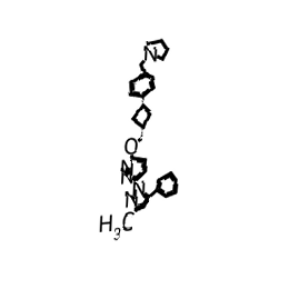 Cc1cc(-c2ccccc2)n(-c2ccc(OC[C@H]3C[C@@H](c4ccc(CN5CCCC5)cc4)C3)nn2)n1